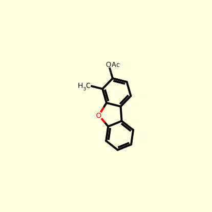 CC(=O)Oc1ccc2c(oc3ccccc32)c1C